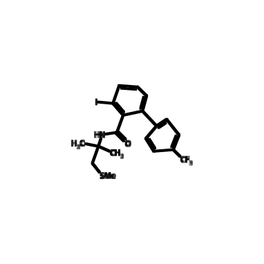 CSCC(C)(C)NC(=O)c1c(I)cccc1-c1ccc(C(F)(F)F)cc1